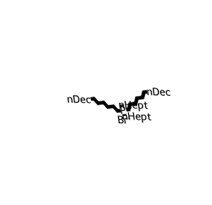 CCCCCCCCCCCCCCCC[P+](CCCCCCC)(CCCCCCC)CCCCCCCCCCCCCCCC.[Br-]